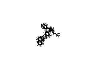 FCCCn1ncc(-c2ccncc2)c1-c1ccc(OCc2ccc3ccccc3n2)cc1